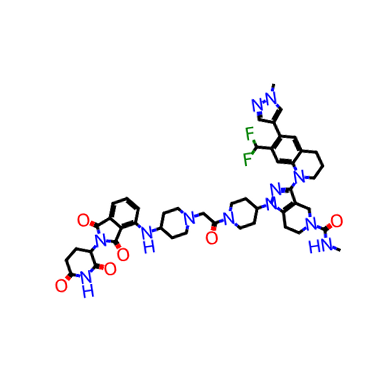 CNC(=O)N1CCc2c(c(N3CCCc4cc(-c5cnn(C)c5)c(C(F)F)cc43)nn2C2CCN(C(=O)CN3CCC(Nc4cccc5c4C(=O)N(C4CCC(=O)NC4=O)C5=O)CC3)CC2)C1